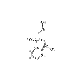 [O-][n+]1cc(C=NO)[n+]([O-])c2ccccc21